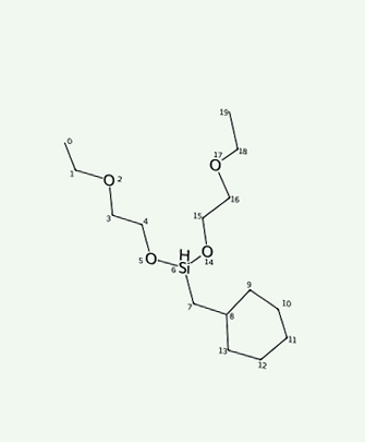 CCOCCO[SiH](CC1CCCCC1)OCCOCC